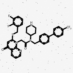 O=C(Cn1c(SCc2cccc(F)c2F)cc(=O)c2cccnc21)N(Cc1ccc(-c2ccc(C(F)(F)F)cc2)cc1)C1CCNCC1